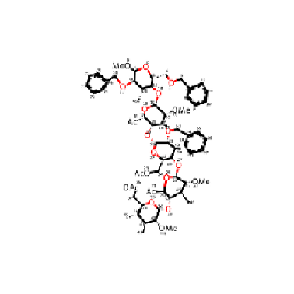 CO[C@H]1O[C@H](COCc2ccccc2)[C@@H](O[C@@H]2O[C@@H](C(C)=O)[C@@H](O[C@H]3O[C@H](COC(C)=O)[C@@H](O[C@@H]4O[C@H](C(C)=O)[C@@H](O[C@H]5O[C@H](COC(C)=O)[C@@H](C)[C@H](C)[C@H]5OC)[C@H](C)[C@H]4OC)[C@H](C)[C@H]3OCc3ccccc3)[C@H](C)[C@H]2OC)[C@H](C)[C@H]1OCc1ccccc1